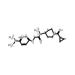 CN(C)C(=N)/C=C\C(=N)OCC(=O)N(C)C1CCN(C(=O)C2CC2)CC1